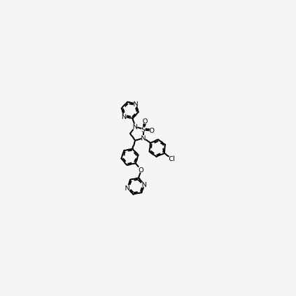 O=S1(=O)N(c2cnccn2)CC(c2cccc(Oc3cnccn3)c2)N1c1ccc(Cl)cc1